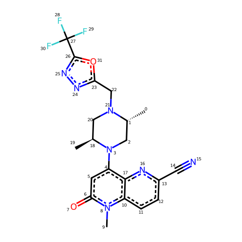 C[C@@H]1CN(c2cc(=O)n(C)c3ccc(C#N)nc23)[C@@H](C)CN1Cc1nnc(C(F)(F)F)o1